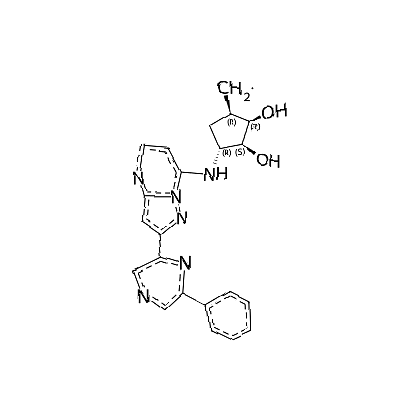 [CH2][C@@H]1C[C@@H](Nc2ccnc3cc(-c4cncc(-c5ccccc5)n4)nn23)[C@H](O)[C@@H]1O